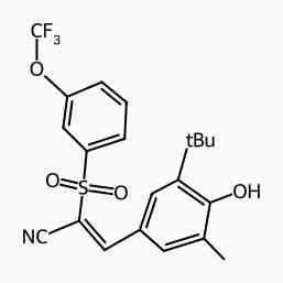 Cc1cc(C=C(C#N)S(=O)(=O)c2cccc(OC(F)(F)F)c2)cc(C(C)(C)C)c1O